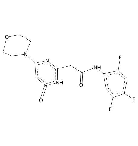 O=C(Cc1nc(N2CCOCC2)cc(=O)[nH]1)Nc1cc(F)c(F)cc1F